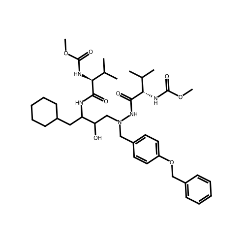 COC(=O)N[C@H](C(=O)NC(CC1CCCCC1)C(O)CN(Cc1ccc(OCc2ccccc2)cc1)NC(=O)[C@@H](NC(=O)OC)C(C)C)C(C)C